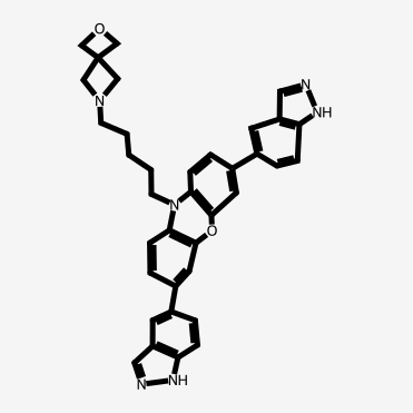 c1cc2c(cc1-c1ccc3[nH]ncc3c1)Oc1cc(-c3ccc4[nH]ncc4c3)ccc1N2CCCCCN1CC2(COC2)C1